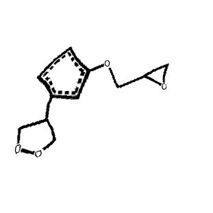 c1cc(OCC2CO2)cc(C2COOC2)c1